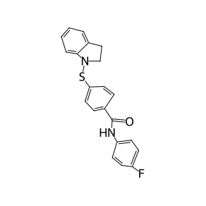 O=C(Nc1ccc(F)cc1)c1ccc(SN2CCc3ccccc32)cc1